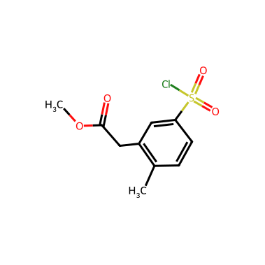 COC(=O)Cc1cc(S(=O)(=O)Cl)ccc1C